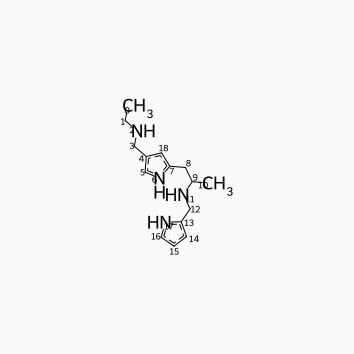 CCNCc1c[nH]c(CC(C)NCc2ccc[nH]2)c1